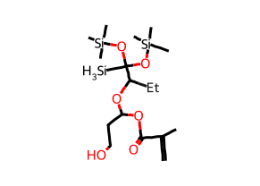 C=C(C)C(=O)OC(CCO)OC(CC)C([SiH3])(O[Si](C)(C)C)O[Si](C)(C)C